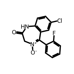 O=C1C[N+]([O-])=C(c2ccccc2F)c2cc(Cl)ccc2N1